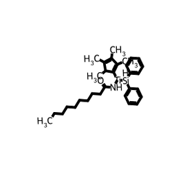 CCCCCCCCCC(=O)[NH][Ti]([C]1=C(C)C(C)=C(C)C1C)[SiH](c1ccccc1)c1ccccc1